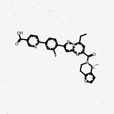 CCc1cc(C(=O)N2CCc3sccc3[C@H]2C)nc2cc(-c3ccc(-c4ccc(C(=O)O)cn4)cc3F)nn12